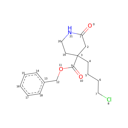 O=C1CC(CCCCCl)(C(=O)OCc2ccccc2)CCN1